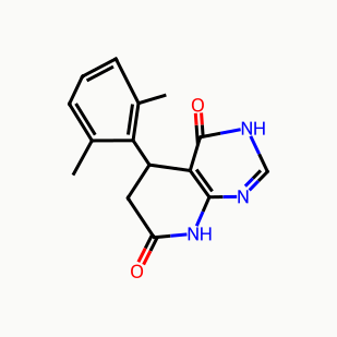 Cc1cccc(C)c1C1CC(=O)Nc2nc[nH]c(=O)c21